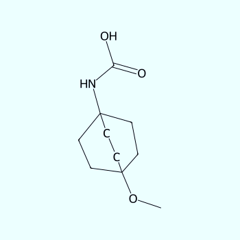 COC12CCC(NC(=O)O)(CC1)CC2